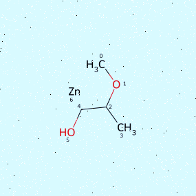 COC(C)CO.[Zn]